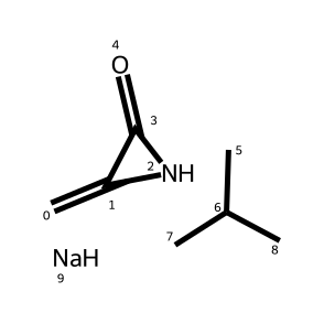 C=C1NC1=O.CC(C)C.[NaH]